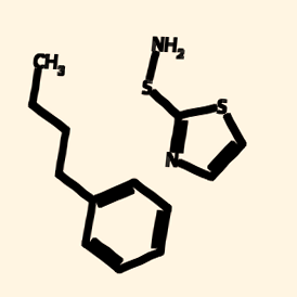 CCCCc1ccccc1.NSc1nccs1